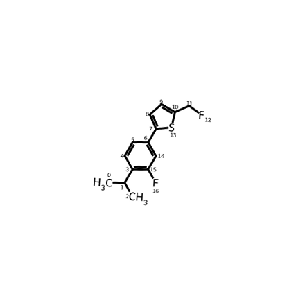 CC(C)c1ccc(-c2ccc(CF)s2)cc1F